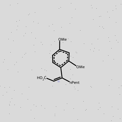 CCCCC/C(=C/C(=O)O)c1ccc(OC)cc1OC